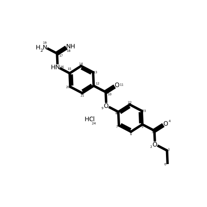 CCOC(=O)c1ccc(OC(=O)c2ccc(NC(=N)N)cc2)cc1.Cl